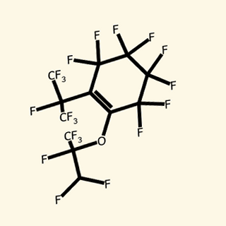 FC(F)C(F)(OC1=C(C(F)(C(F)(F)F)C(F)(F)F)C(F)(F)C(F)(F)C(F)(F)C1(F)F)C(F)(F)F